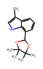 Cc1c[nH]c2c(C3OC(C)(C)C(C)(C)O3)cccc12